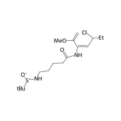 C=C(OC)/C(=C\C(Cl)CC)NC(=O)CCCCN[S+]([O-])C(C)(C)C